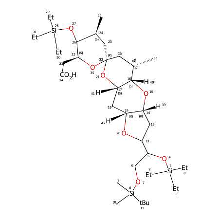 CC[Si](CC)(CC)OC(CO[Si](C)(C)C(C)(C)C)C1C[C@H]2O[C@@H]3[C@H](C[C@H]2O1)O[C@]1(C[C@H](C)C(O[Si](CC)(CC)CC)[C@H](CC(=O)O)O1)C[C@@H]3C